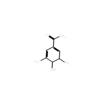 CC(=O)C1=CC(P)C(O)C(C)=C1